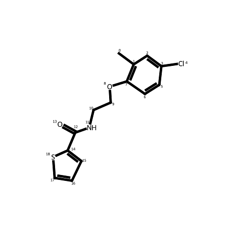 Cc1cc(Cl)ccc1OCCNC(=O)c1cccs1